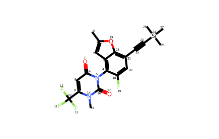 Cc1cc2c(-n3c(=O)cc(C(F)(F)F)n(C)c3=O)c(F)cc(C#C[Si](C)(C)C)c2o1